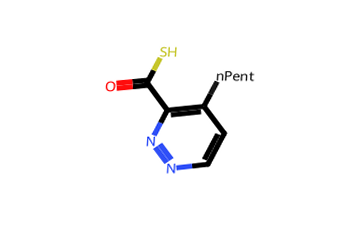 CCCCCc1ccnnc1C(=O)S